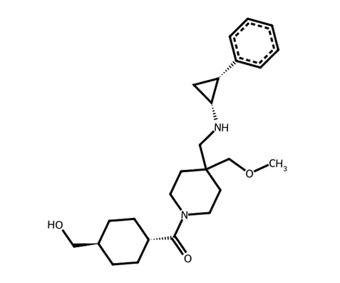 COCC1(CN[C@@H]2C[C@@H]2c2ccccc2)CCN(C(=O)[C@H]2CC[C@H](CO)CC2)CC1